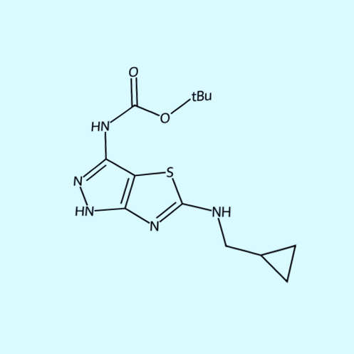 CC(C)(C)OC(=O)Nc1n[nH]c2nc(NCC3CC3)sc12